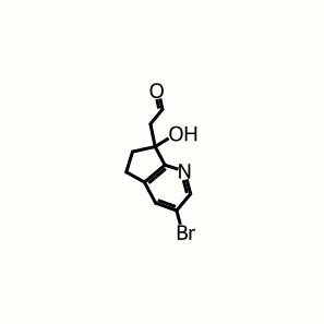 O=CCC1(O)CCc2cc(Br)cnc21